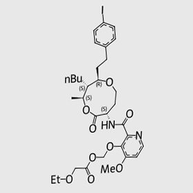 CCCC[C@H]1[C@H](C)OC(=O)[C@@H](NC(=O)c2nccc(OC)c2OCOC(=O)COCC)CCO[C@@H]1CCc1ccc(I)cc1